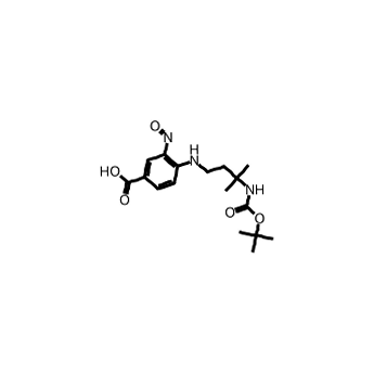 CC(C)(CCNc1ccc(C(=O)O)cc1N=O)NC(=O)OC(C)(C)C